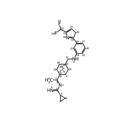 C/C(=N\C(=N)C1CC1)C12CCC(CNc3cccc(C4=NC(C(F)F)=CC4)c3)(CC1)CC2